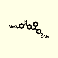 COCc1ccc(Nc2ccc(/C=C(\c3ccccc3)c3ccc(COC)cc3)cc2)cc1